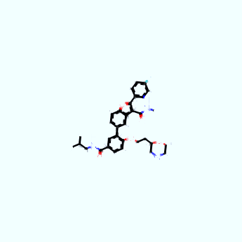 CNC(=O)c1c(-c2ccc(F)cc2)oc2ccc(-c3cc(C(=O)NCC(C)C)ccc3OCCC3CNCCO3)cc12